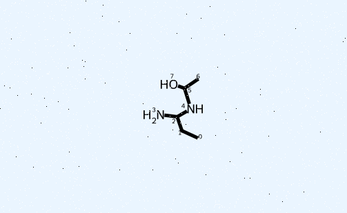 CCC(N)NC(C)O